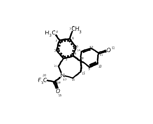 Cc1cc2c(cc1C)C1(C=CC(=O)C=C1)CCN(C(=O)C(F)(F)F)C2